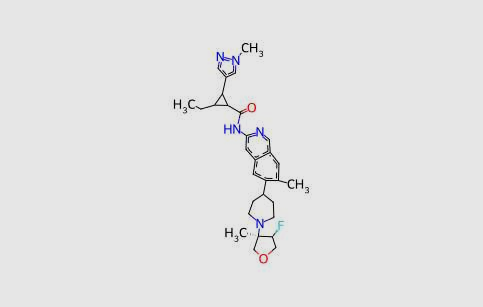 CCC1C(C(=O)Nc2cc3cc(C4CCN([C@]5(C)COC[C@@H]5F)CC4)c(C)cc3cn2)C1c1cnn(C)c1